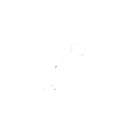 C[C@@]1(O)CC[C@@H](COCc2ccccc2)OC1